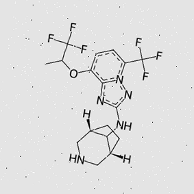 CC(Oc1ccc(C(F)(F)F)n2nc(NC3[C@@H]4CC[C@H]3CNC4)nc12)C(F)(F)F